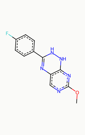 COc1ncc2c(n1)NNC(c1ccc(F)cc1)=N2